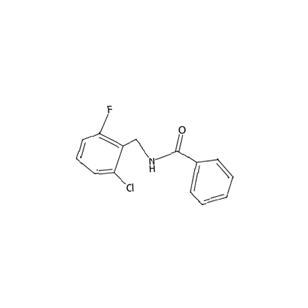 O=C(NCc1c(F)cccc1Cl)c1ccccc1